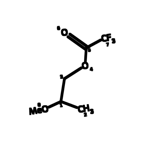 COC(C)COC(=O)C(F)(F)F